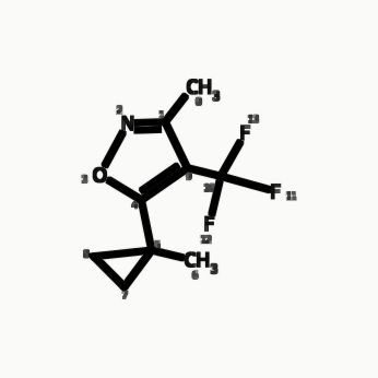 Cc1noc(C2(C)CC2)c1C(F)(F)F